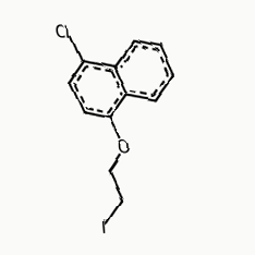 Clc1ccc(OCCI)c2ccccc12